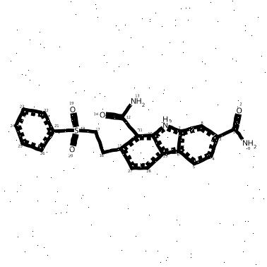 NC(=O)c1ccc2c(c1)[nH]c1c(C(N)=O)c(CCS(=O)(=O)c3ccccc3)ccc12